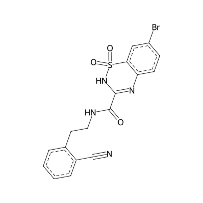 N#Cc1ccccc1CCNC(=O)C1=Nc2ccc(Br)cc2S(=O)(=O)N1